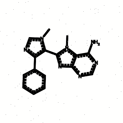 Cn1cnc(-c2ccccc2)c1-c1nc2ncnc(N)c2n1C